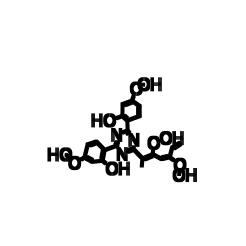 C=C/C(=C\C(OO)=C(/C)c1nc(-c2ccc(OO)cc2O)nc(-c2ccc(OO)cc2O)n1)OO